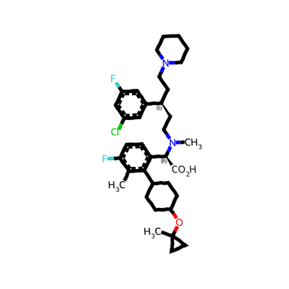 Cc1c(F)ccc([C@H](C(=O)O)N(C)CC[C@H](CCN2CCCCC2)c2cc(F)cc(Cl)c2)c1C1CCC(OC2(C)CC2)CC1